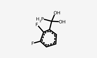 OC(O)(P)c1cccc(F)c1F